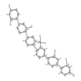 Cc1ccc(-c2ccc(-c3ccc4c(c3)C(C)(C)c3cc(-c5ccc(-c6ccc(C)cc6C)cc5C)ccc3-4)c(C)c2)c(C)c1